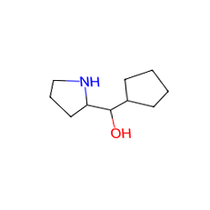 OC(C1CCCC1)C1CCCN1